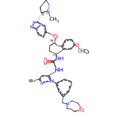 CN1CCC[C@H]1c1nnc2ccc(O[C@@H]3CC[C@H](NC(=O)Nc4cc(C(C)(C)C)nn4-c4cccc(CN5CCOCC5)c4)c4ccccc43)cn12.O=CO